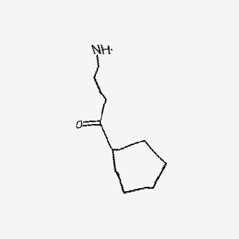 [NH]CCC(=O)C1CCCCC1